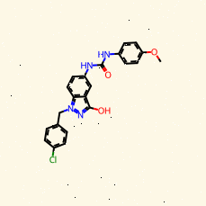 COc1ccc(NC(=O)Nc2ccc3c(c2)c(O)nn3Cc2ccc(Cl)cc2)cc1